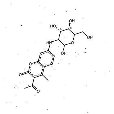 CC(=O)c1c(C)c2ccc(NC3C(O)OC(CO)[C@H](O)[C@H]3O)cc2oc1=O